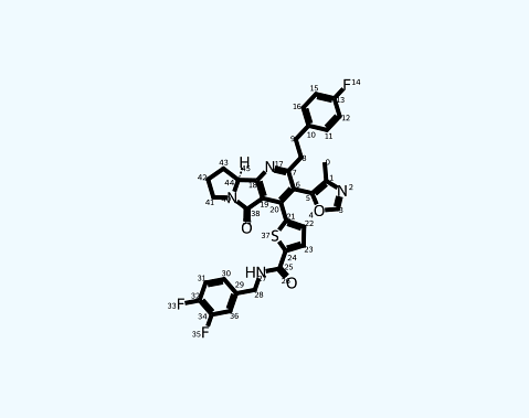 Cc1ncoc1-c1c(CCc2ccc(F)cc2)nc2c(c1-c1ccc(C(=O)NCc3ccc(F)c(F)c3)s1)C(=O)N1CCC[C@@H]21